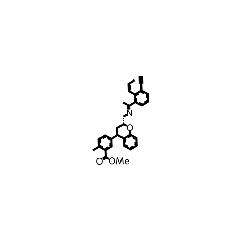 C#Cc1cccc(/C(C)=N/C[C@H]2CC(c3ccc(C)c(C(=O)OC)c3)c3ccccc3O2)c1/C=C\C